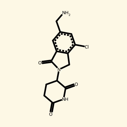 NCc1cc(Cl)c2c(c1)C(=O)N(C1CCC(=O)NC1=O)C2